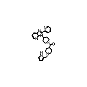 O=C(C1CCN(Cc2ccc[nH]2)CC1)N1CCC(n2c(-c3ccccn3)nc3cccnc32)CC1